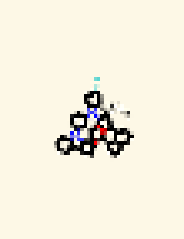 Cc1cc(-c2cccc3cccc(-c4ccccc4)c23)ccc1N(c1ccc(F)cc1)c1cccc(-n2c3ccccc3c3ccccc32)c1